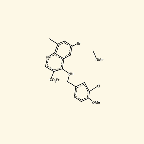 CCOC(=O)c1cnc2c(C)cc(Br)cc2c1NCc1ccc(OC)c(Cl)c1.CNC